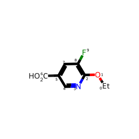 CCOc1ncc(C(=O)O)cc1F